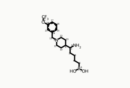 NC(CCCCB(O)O)C1CCN(Cc2cccc(OC(F)(F)F)c2)CC1